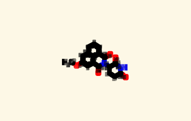 COc1cc2c3c(cccc3c1)C(=O)N(C1CCC(=O)NC1=O)C2=O